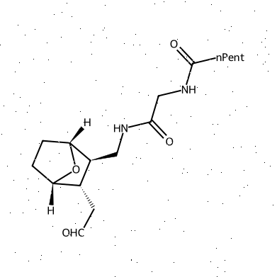 CCCCCC(=O)NCC(=O)NC[C@H]1[C@H](CC=O)[C@@H]2CC[C@H]1O2